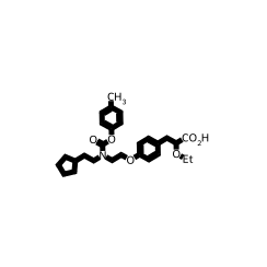 CCOC(Cc1ccc(OCCN(CCC2CCCC2)C(=O)Oc2ccc(C)cc2)cc1)C(=O)O